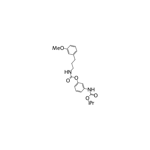 COc1cccc(CCCNC(=O)Oc2cccc(NC(=O)OC(C)C)c2)c1